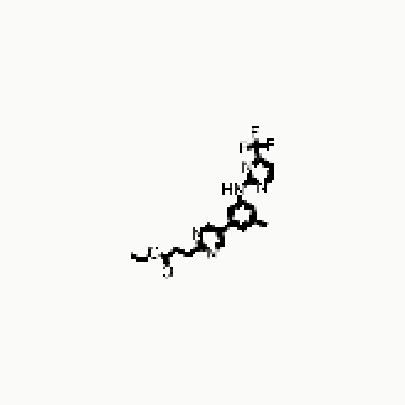 CCOC(=O)CCc1ncc(-c2cc(C)cc(Nc3nccc(C(F)(F)F)n3)c2)cn1